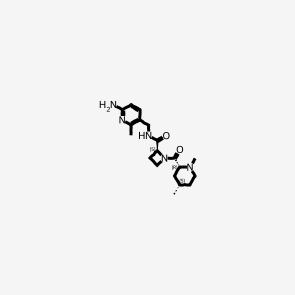 Cc1nc(N)ccc1CNC(=O)[C@@H]1CCN1C(=O)[C@H]1C[C@@H](C)CCN1C